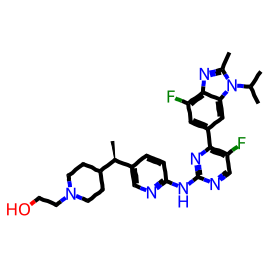 Cc1nc2c(F)cc(-c3nc(Nc4ccc([C@H](C)C5CCN(CCO)CC5)cn4)ncc3F)cc2n1C(C)C